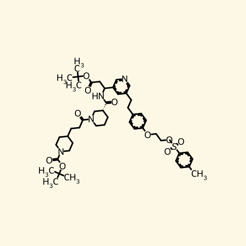 Cc1ccc(S(=O)(=O)OCCOc2ccc(CCc3cncc(C(CC(=O)OC(C)(C)C)NC(=O)[C@@H]4CCCN(C(=O)CCC5CCN(C(=O)OC(C)(C)C)CC5)C4)c3)cc2)cc1